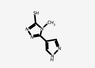 Cn1c(S)nnc1-c1cn[nH]c1